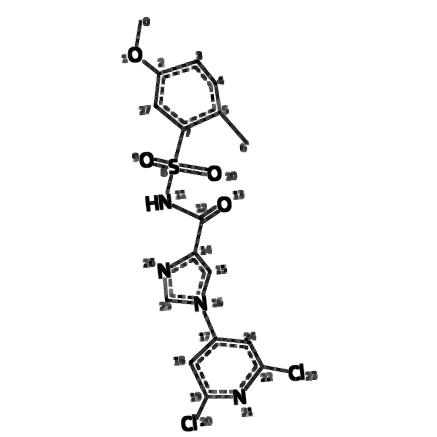 COc1ccc(C)c(S(=O)(=O)NC(=O)c2cn(-c3cc(Cl)nc(Cl)c3)cn2)c1